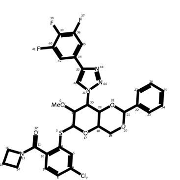 COC1C(Sc2cc(Cl)ccc2C(=O)N2CCC2)OC2COC(c3ccccc3)OC2C1n1cc(-c2cc(F)c(F)c(F)c2)nn1